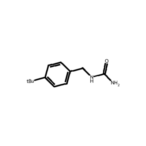 CC(C)(C)c1ccc(CNC(N)=O)cc1